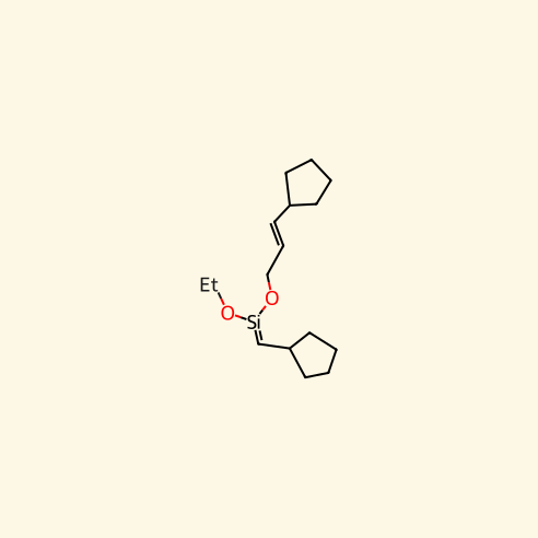 CCO[Si](=CC1CCCC1)OCC=CC1CCCC1